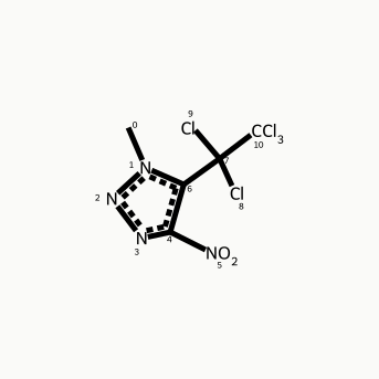 Cn1nnc([N+](=O)[O-])c1C(Cl)(Cl)C(Cl)(Cl)Cl